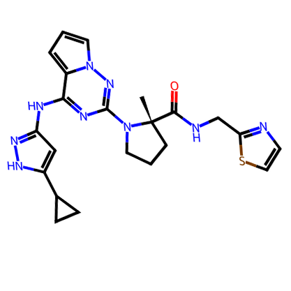 C[C@@]1(C(=O)NCc2nccs2)CCCN1c1nc(Nc2cc(C3CC3)[nH]n2)c2cccn2n1